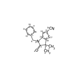 CC1(C)C(=O)N(Cc2ccccc2)c2cc(C#N)sc21